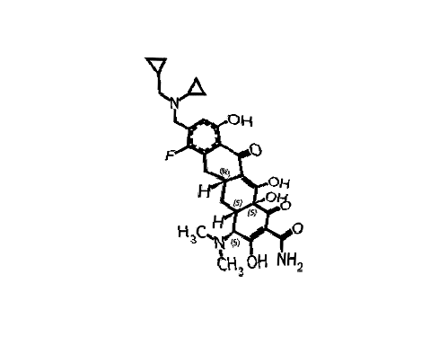 CN(C)[C@@H]1C(O)=C(C(N)=O)C(=O)[C@@]2(O)C(O)=C3C(=O)c4c(O)cc(CN(CC5CC5)C5CC5)c(F)c4C[C@H]3C[C@@H]12